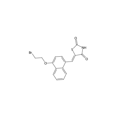 O=C1NC(=O)/C(=C/c2ccc(OCCBr)c3ccccc23)S1